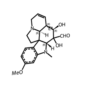 CC[C@]12C=CCN3CCC4(c5ccc(OC)cc5N(C)[C@H]4C(O)(C=O)[C@@H]1O)[C@@H]32